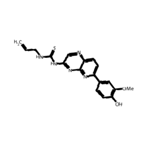 C=CCNC(=S)Nc1cnc2ccc(-c3ccc(O)c(OC)c3)nc2n1